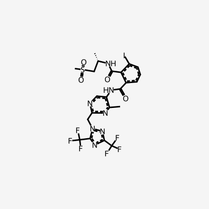 Cc1nc(Cn2nc(C(F)(F)F)nc2C(F)(F)F)ncc1NC(=O)c1cccc(I)c1C(=O)N[C@@H](C)CS(C)(=O)=O